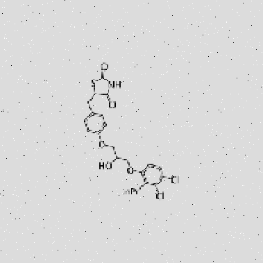 CCCc1c(OCC(O)COc2ccc(CC3SC(=O)NC3=O)cc2)ccc(Cl)c1Cl